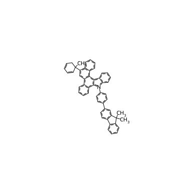 CC1(c2cc3c4ccccc4c4c(c5ccccc5n4-c4ccc(-c5ccc6c(c5)C(C)(C)c5ccccc5-6)cc4)c3c3ccccc23)C=CC=CC1